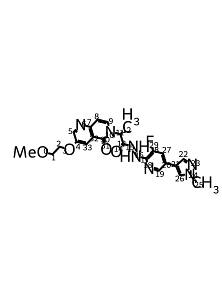 COCCOc1cnc2ccn(C(C)C(=O)NNc3ncc(-c4cnn(C)c4)cc3F)c(=O)c2c1